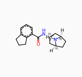 CN1[C@@H]2CC[C@H]1C[C@H](NC(=O)c1cccc3c1CCC3)C2